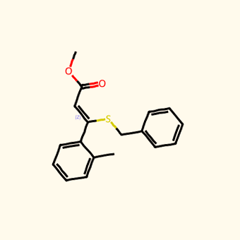 COC(=O)/C=C(\SCc1ccccc1)c1ccccc1C